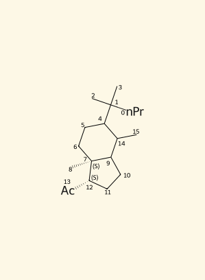 CCCC(C)(C)C1CC[C@@]2(C)C(CC[C@@H]2C(C)=O)C1C